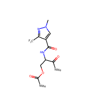 CNC(=O)OCC(NC(=O)c1cn(C)nc1C(F)(F)F)C(=O)NC